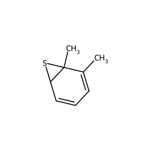 CC1=CC=CC2SC12C